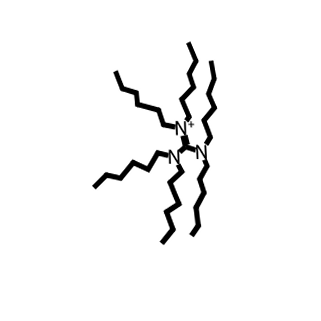 CCCCCCN(CCCCCC)C(N(CCCCCC)CCCCCC)=[N+](CCCCCC)CCCCCC